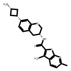 Cc1ccc2c(N)c(C(=O)N[C@H]3COc4cc([C@H]5C[C@@H](N)C5)ccc4C3)sc2n1